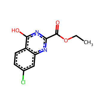 CCOC(=O)c1nc(O)c2ccc(Cl)cc2n1